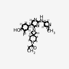 C=CC(=O)N1CCC2(CC1)CN(c1nc(Nc3cnn(C)c3)ncc1-c1ccc(O)c(F)c1)C2